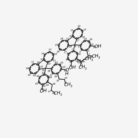 CC(C)c1cc(C2(c3ccc(O)c(C(C)C)c3)c3ccccc3-c3ccccc32)ccc1O.CCCc1cc(C2(c3ccc(O)c(CCC)c3)c3ccccc3-c3ccccc32)ccc1O